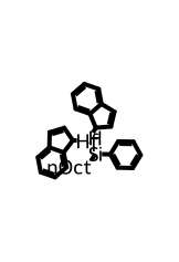 CCCCCCCC[SiH](c1ccccc1)[Hf]([CH]1C=Cc2ccccc21)[CH]1C=Cc2ccccc21